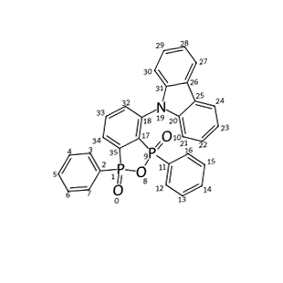 O=P1(c2ccccc2)OP(=O)(c2ccccc2)c2c(-n3c4ccccc4c4ccccc43)cccc21